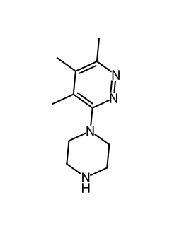 Cc1nnc(N2CCNCC2)c(C)c1C